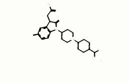 CC(C)C1CCC(N2CCC(N3C(=O)C(CC(N)=O)c4cc(F)ccc43)CC2)CC1